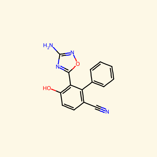 N#Cc1ccc(O)c(-c2nc(N)no2)c1-c1ccccc1